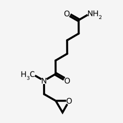 CN(CC1CO1)C(=O)CCCCC(N)=O